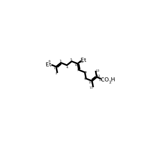 CCC(C)=CCCC(=CCCC(C)=C(C)C(=O)O)CC